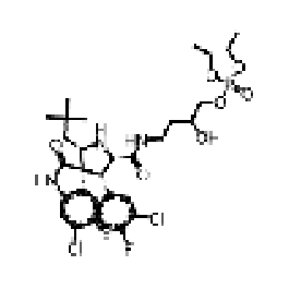 CCOP(=O)(OCC)OC[C@@H](O)CCNC(=O)[C@@H]1N[C@H](CC(C)(C)C)[C@]2(C(=O)Nc3cc(Cl)c(F)cc32)[C@H]1c1ccc(F)c(Cl)c1